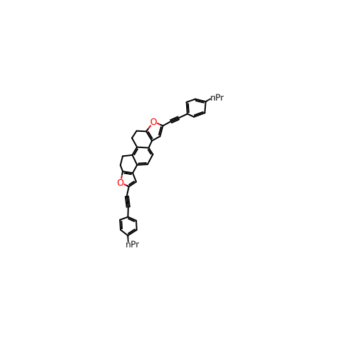 CCCc1ccc(C#Cc2cc3c(o2)CCc2c-3ccc3c2CCc2oc(C#Cc4ccc(CCC)cc4)cc2-3)cc1